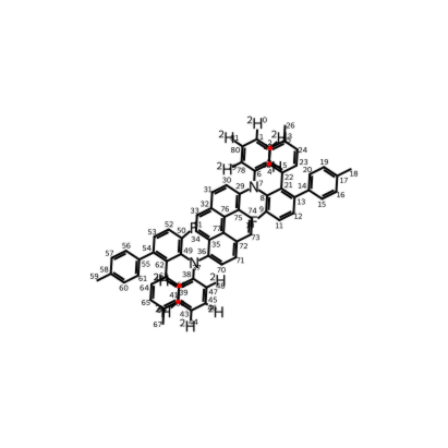 [2H]c1c([2H])c([2H])c(N(c2c(F)ccc(-c3ccc(C)cc3)c2-c2ccc(C)cc2)c2ccc3ccc4c(N(c5c([2H])c([2H])c([2H])c([2H])c5[2H])c5c(F)ccc(-c6ccc(C)cc6)c5-c5ccc(C)cc5)ccc5ccc2c3c54)c([2H])c1[2H]